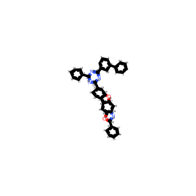 c1ccc(-c2cccc(-c3nc(-c4ccccc4)nc(-c4ccc5c(c4)oc4cc6nc(-c7ccccc7)oc6cc45)n3)c2)cc1